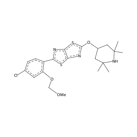 COCOc1cc(Cl)ccc1-c1nc2sc(OC3CC(C)(C)NC(C)(C)C3)nc2s1